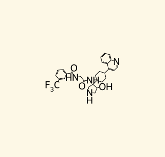 O=C(CNC(=O)c1cccc(C(F)(F)F)c1)N[C@@]1(C2CCC(c3ccnc4ccccc34)CC2)CNC[C@@H]1O